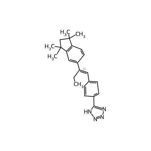 CC/C(=C\c1ccc(-c2nnn[nH]2)cc1)c1ccc2c(c1)C(C)(C)CC2(C)C